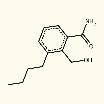 CCCCc1cccc(C(N)=O)c1CO